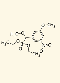 CCOP(=O)(OCC)C(OC)c1cc(OC)cc([N+](=O)[O-])c1